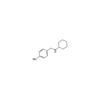 CC(C)(C)c1ccc(CNC2CCCCC2)cc1